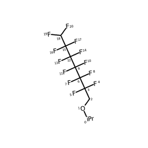 CC(C)OCC(F)(F)C(F)(F)C(F)(F)C(F)(F)C(F)(F)C(F)F